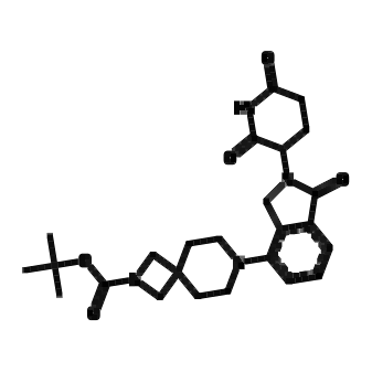 CC(C)(C)OC(=O)N1CC2(CCN(c3cccc4c3CN(C3CCC(=O)NC3=O)C4=O)CC2)C1